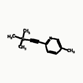 Cc1ccc(C#C[Si](C)(C)C)nc1